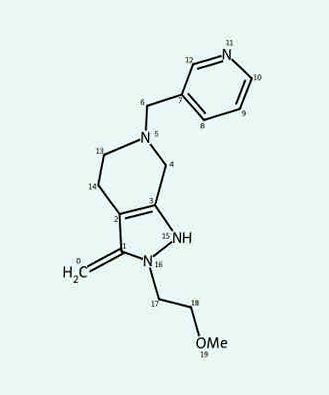 C=C1C2=C(CN(Cc3cccnc3)CC2)NN1CCOC